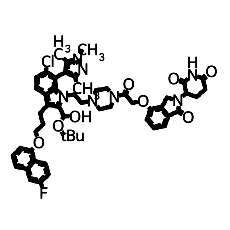 Cc1nn(C)c(C)c1-c1c(Cl)ccc2c(CCCOc3cccc4cc(F)ccc34)c(C(O)OC(C)(C)C)n(CCN3CCN(C(=O)COc4cccc5c4CN(C4CCC(=O)NC4=O)C5=O)CC3)c12